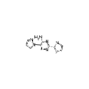 Nc1nc(-c2nccs2)ncc1-n1cccn1